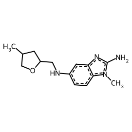 CC1COC(CNc2ccc3c(c2)nc(N)n3C)C1